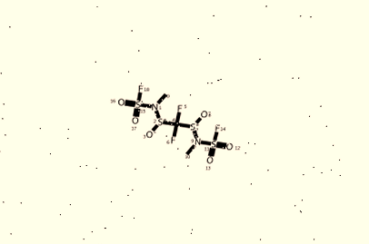 CN([S+]([O-])C(F)(F)[S+]([O-])N(C)S(=O)(=O)F)S(=O)(=O)F